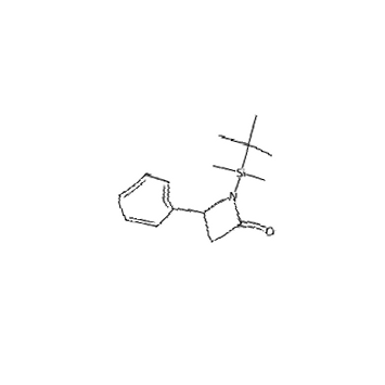 CC(C)(C)[Si](C)(C)N1C(=O)CC1c1ccccc1